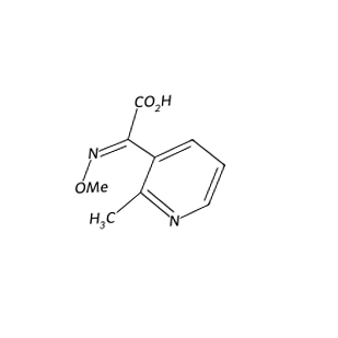 CO/N=C(/C(=O)O)c1cccnc1C